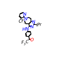 CC(C)c1nc2c(c(Nc3ccc(C(=O)C(F)(F)F)cc3)n1)CCN(c1ncccc1C(F)(F)F)CC2